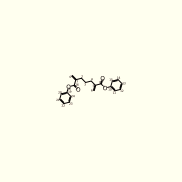 C=C(CCCC(=C)C(=O)Oc1ccccc1)C(=O)Oc1ccccc1